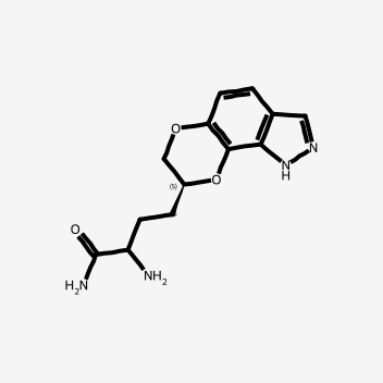 NC(=O)C(N)C[CH][C@H]1COc2ccc3cn[nH]c3c2O1